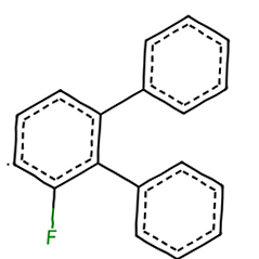 Fc1[c]ccc(-c2ccccc2)c1-c1ccccc1